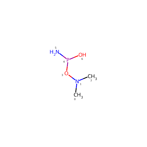 CN(C)OP(N)O